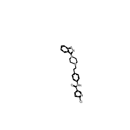 O=C(Nc1ccc(CCN2CCN(c3nsc4ccccc34)CC2)cc1)c1ccc(Cl)nc1